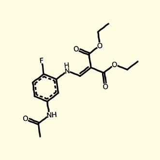 CCOC(=O)C(=CNc1cc(NC(C)=O)ccc1F)C(=O)OCC